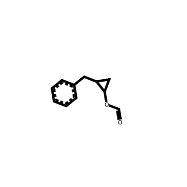 O=COC1CC1Cc1ccccc1